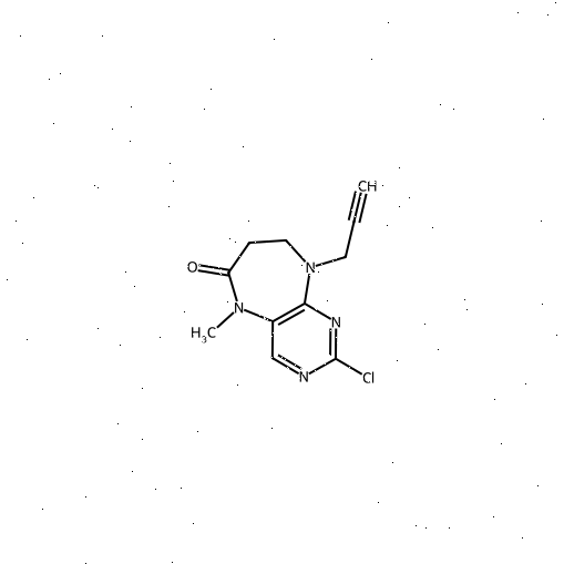 C#CCN1CCC(=O)N(C)c2cnc(Cl)nc21